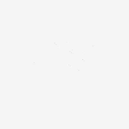 Cn1nnc2c(C(=O)OC3(F)CCC3)ncn2c1=O